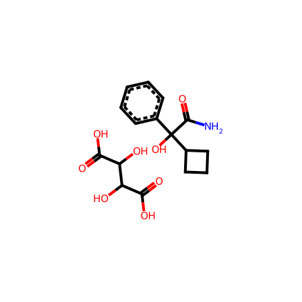 NC(=O)C(O)(c1ccccc1)C1CCC1.O=C(O)C(O)C(O)C(=O)O